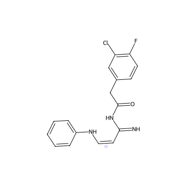 N=C(/C=C\Nc1ccccc1)NC(=O)Cc1ccc(F)c(Cl)c1